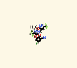 COc1nnc(C(F)F)cc1Cn1cnc(C(F)(F)F)c(Oc2cc(Cl)cc(C#N)c2)c1=O